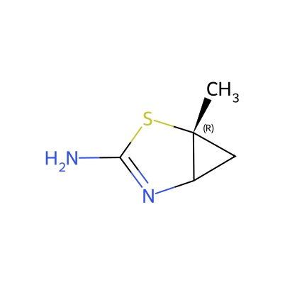 C[C@@]12CC1N=C(N)S2